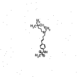 CCN(CCC=Cc1ccc(NS(C)(=O)=O)cc1)CCCC(C)(C)C